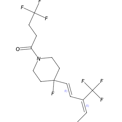 C/C=C(\C=C\C1(F)CCN(C(=O)CCC(F)(F)F)CC1)C(F)(F)F